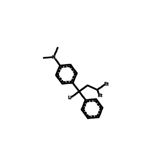 [Li][C](CC(CC)CC)(c1ccccc1)c1ccc(N(C)C)cc1